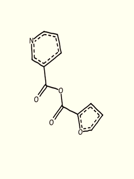 O=C(OC(=O)c1ccco1)c1cccnc1